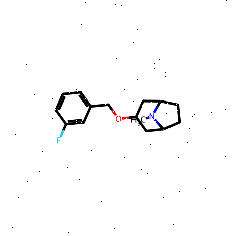 CN1C2CCC1CC(OCc1cccc(F)c1)C2